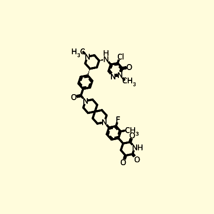 Cc1c(C2CC(=O)C(=O)NC2=O)ccc(N2CCC3(CCN(C(=O)c4ccc([C@H]5C[C@@H](Nc6cnn(C)c(=O)c6Cl)CN(C)C5)cc4)CC3)CC2)c1F